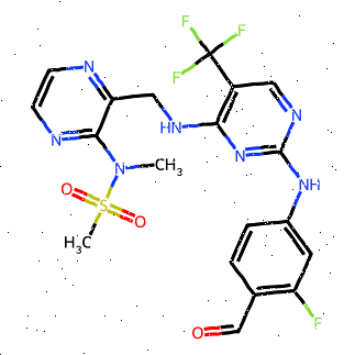 CN(c1nccnc1CNc1nc(Nc2ccc(C=O)c(F)c2)ncc1C(F)(F)F)S(C)(=O)=O